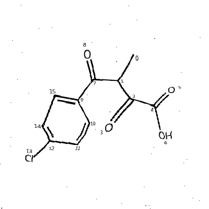 CC(C(=O)C(=O)O)C(=O)c1ccc(Cl)cc1